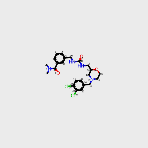 CN(C)C(=O)c1cccc(CNC(=O)NCC2CN(Cc3ccc(Cl)c(Cl)c3)CCO2)c1